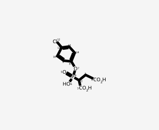 O=C(O)CC(C(=O)O)P(=O)(O)Oc1ccc(Cl)cc1